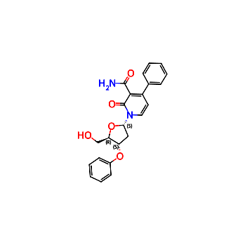 NC(=O)c1c(-c2ccccc2)ccn([C@@H]2C[C@H](Oc3ccccc3)[C@@H](CO)O2)c1=O